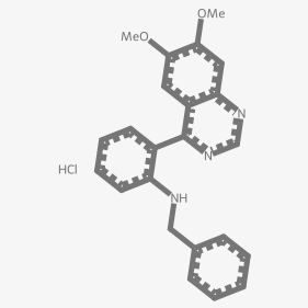 COc1cc2ncnc(-c3ccccc3NCc3ccccc3)c2cc1OC.Cl